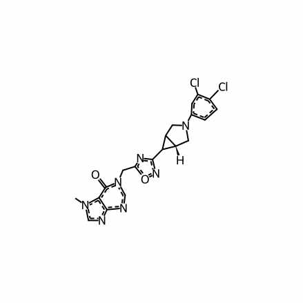 Cn1cnc2ncn(Cc3nc(C4C5CN(c6ccc(Cl)c(Cl)c6)C[C@@H]54)no3)c(=O)c21